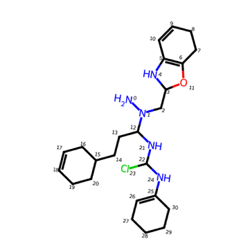 NN(CC1NC2=C(CCC=C2)O1)C(CCC1CC=CCC1)NC(Cl)NC1=CCCCC1